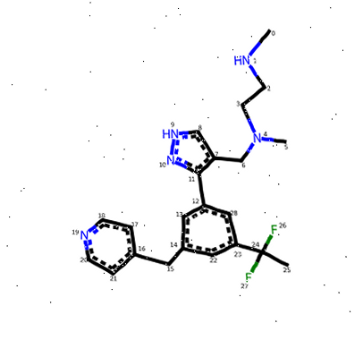 CNCCN(C)Cc1c[nH]nc1-c1cc(Cc2ccncc2)cc(C(C)(F)F)c1